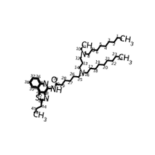 CCCCCCCCCN(CC)CCCN(CCCCCCCCC)CCCCCC(=O)Nc1nc2ccccc2c2sc(CCC)nc12